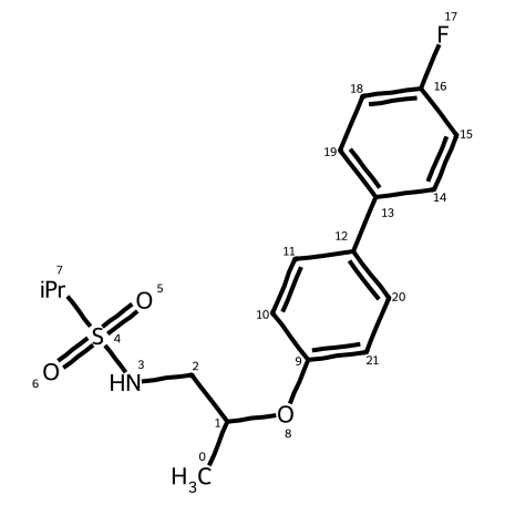 CC(CNS(=O)(=O)C(C)C)Oc1ccc(-c2ccc(F)cc2)cc1